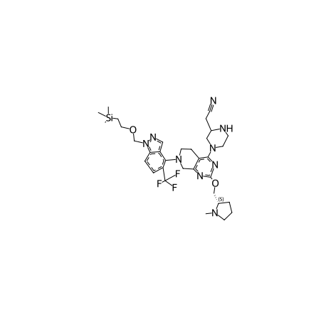 CN1CCC[C@H]1COc1nc2c(c(N3CCNC(CC#N)C3)n1)CCN(c1c(C(F)(F)F)ccc3c1cnn3COCC[Si](C)(C)C)C2